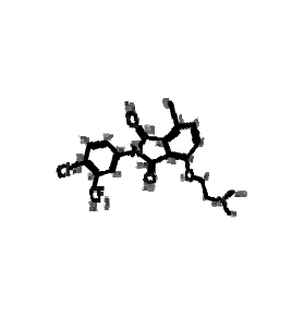 Cc1ccc(OCCN(C)C)c2c1C(=O)N(c1ccc(Cl)c(C(F)(F)F)c1)C2=O